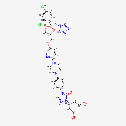 O=c1n(-c2ccc(N3CCN(c4ccc(OC[C@@H]5CO[C@@](Cn6cnnn6)(c6ccc(Cl)cc6Cl)O5)cn4)CC3)cc2)cnn1C(CCO)CCO